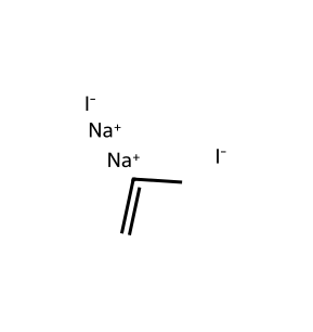 C=CC.[I-].[I-].[Na+].[Na+]